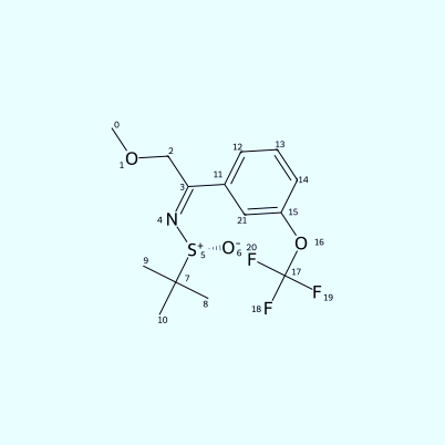 COC/C(=N/[S@+]([O-])C(C)(C)C)c1cccc(OC(F)(F)F)c1